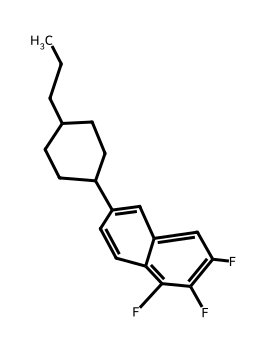 CCCC1CCC(c2ccc3c(F)c(F)c(F)cc3c2)CC1